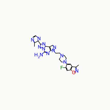 Cc1nccnc1-c1nc2c3cnn(CCN4CCN(c5cc6c(C)noc6cc5F)CC4)c3nc(N)n2n1